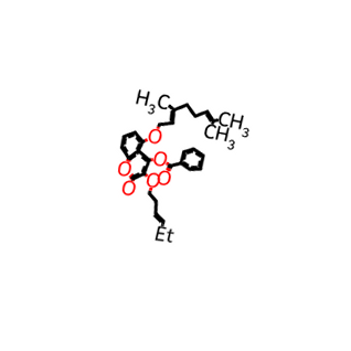 CC/C=C/CCOc1c(OC(=O)c2ccccc2)c2c(OC/C=C(\C)CCC=C(C)C)cccc2oc1=O